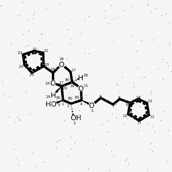 O[C@@H]1[C@@H](O)[C@H](OCCCc2ccccc2)O[C@@H]2COC(c3ccccc3)O[C@@H]12